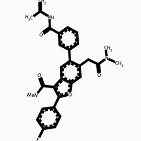 C=C(C)NC(=O)c1cccc(-c2cc3c(C(=O)NC)c(-c4ccc(F)cc4)oc3cc2CC(=O)N(C)C)c1